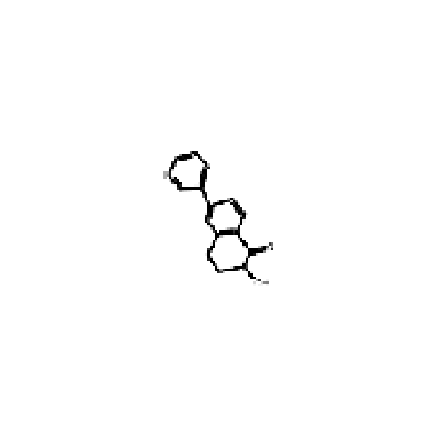 O=C1c2ccc(-c3cccnc3)cc2CCC1O